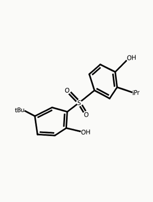 CC(C)c1cc(S(=O)(=O)c2cc(C(C)(C)C)ccc2O)ccc1O